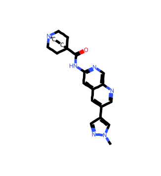 Cn1cc(-c2cnc3cnc(NC(=O)C45CCN(CC4)CC5)cc3c2)cn1